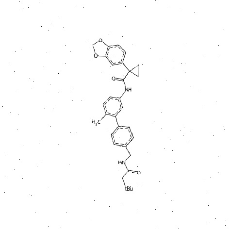 Cc1ccc(NC(=O)C2(c3ccc4c(c3)OCO4)CC2)cc1-c1ccc(CNC(=O)CC(C)(C)C)cc1